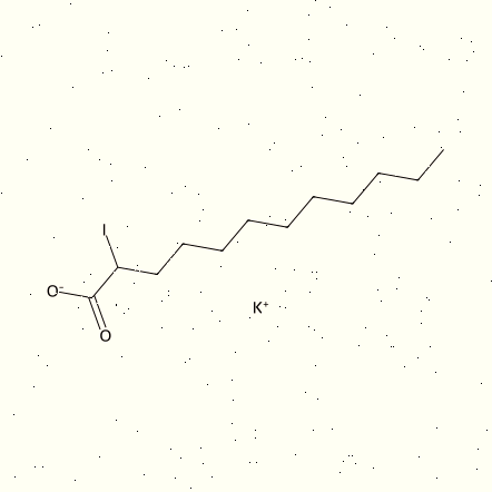 CCCCCCCCCCC(I)C(=O)[O-].[K+]